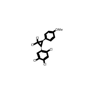 COc1ccc([C@H]2[C@H](c3cc(Cl)c(Cl)cc3Cl)C2(Cl)Cl)cc1